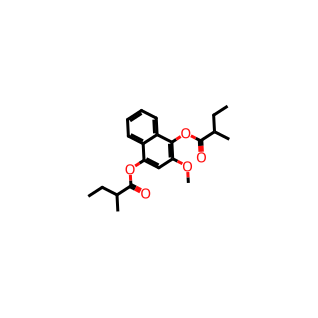 CCC(C)C(=O)Oc1cc(OC)c(OC(=O)C(C)CC)c2ccccc12